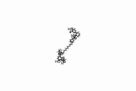 CC(C)(C)[Si](C)(C)O[C@@H](CNCCCCCCCCCN1CCC(OC(=O)Nc2ccccc2-c2ccc(O)c(F)c2)CC1)c1ccc(O)c(NS(C)(=O)=O)c1